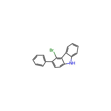 Brc1c(-c2ccccc2)ccc2[nH]c3ccccc3c12